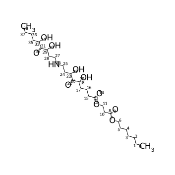 CCCCCCCOC(=O)CCOC(=O)CCCC(O)C(=O)C(O)CCNCCC(O)C(=O)C(O)CCCC